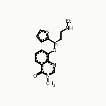 CCNCC[C@@H](Oc1cccc2c(=O)n(C)cnc12)c1cccs1